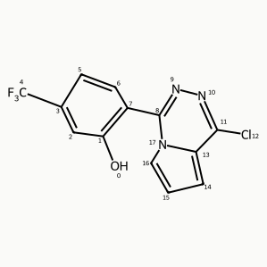 Oc1cc(C(F)(F)F)ccc1-c1nnc(Cl)c2cccn12